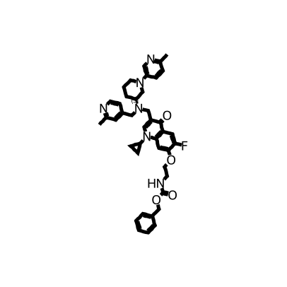 Cc1ccc(N2CCC[C@H](N(Cc3ccnc(C)c3)Cc3cn(C4CC4)c4cc(OCCNC(=O)OCc5ccccc5)c(F)cc4c3=O)C2)cn1